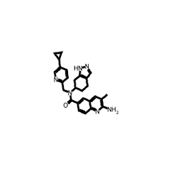 Cc1cc2cc(C(=O)N(Cc3ccc(C4CC4)cn3)C3CCc4cn[nH]c4C3)ccc2nc1N